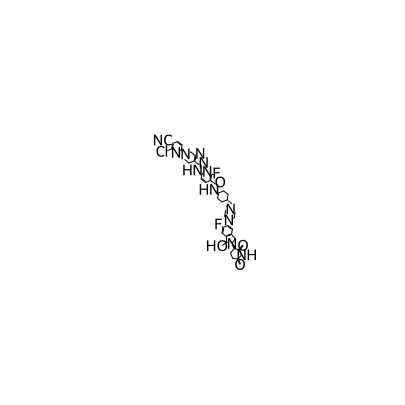 N#Cc1ccc(N2CCc3c(ncnc3Nc3ccc(C(=O)N[C@H]4CC[C@H](CN5CCN(c6cc7c(cc6F)C(O)N(C6CCC(=O)NC6=O)C7)CC5)CC4)c(F)n3)C2)nc1Cl